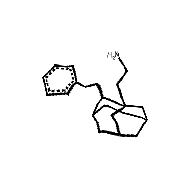 NCCC12CC3CC(CC(C3)C1Cc1ccccc1)C2